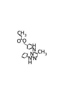 CC=CC(=O)OCc1ccc(Nc2nc(Nc3ccccc3)ncc2C)cc1